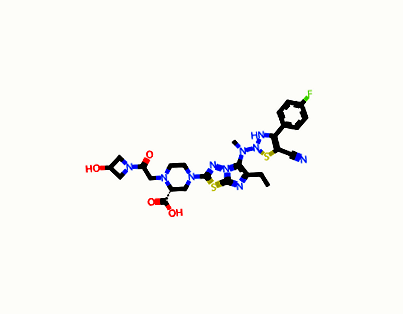 CCc1nc2sc(N3CCN(CC(=O)N4CC(O)C4)[C@@H](C(=O)O)C3)nn2c1N(C)N1NC(c2ccc(F)cc2)=C(C#N)S1